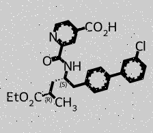 CCOC(=O)[C@H](C)C[C@@H](Cc1ccc(-c2cccc(Cl)c2)cc1)NC(=O)c1cc(C(=O)O)ccn1